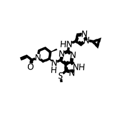 C=CC(=O)N1CC[C@@H](C)[C@@H](Nc2nc(Nc3cnn(C4CC4)c3)nc3[nH]nc(SC)c23)C1